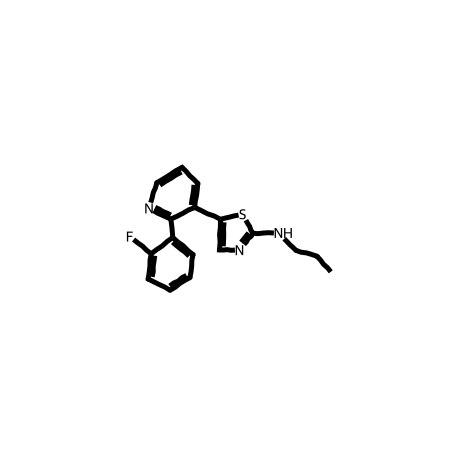 CCCNc1ncc(-c2cccnc2-c2ccccc2F)s1